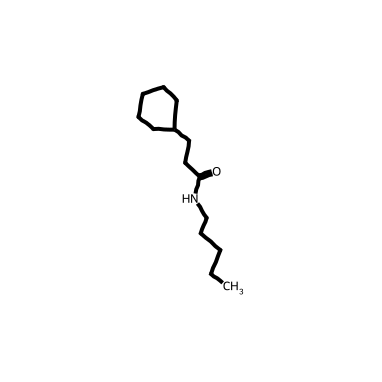 CCCCCNC(=O)CCC1CCCCC1